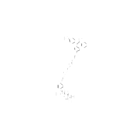 CC/C(=C(\c1ccc(O)cc1)c1ccc(OCCCCOCCCOCCCOc2ccc3c(c2)CN(C2CCC(=O)NC2=O)C3O)cc1)c1ccccc1